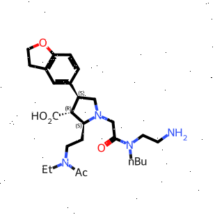 CCCCN(CCN)C(=O)CN1C[C@H](c2ccc3c(c2)CCO3)[C@@H](C(=O)O)[C@@H]1CCN(CC)C(C)=O